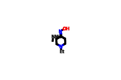 CCN1CCC(=NO)CC1.CNC